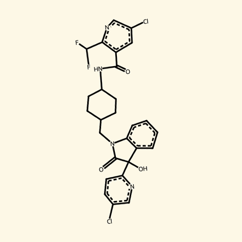 O=C(NC1CCC(CN2C(=O)C(O)(c3ccc(Cl)cn3)c3ccccc32)CC1)c1cc(Cl)cnc1C(F)F